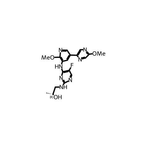 COc1cnc(-c2cnc(OC)c(Nc3nc(NC[C@@H](C)O)ncc3F)c2)cn1